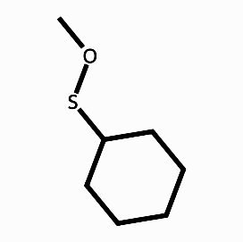 COSC1CCCCC1